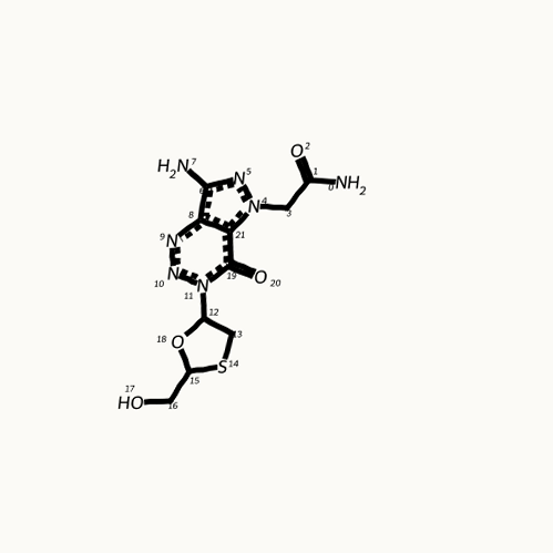 NC(=O)Cn1nc(N)c2nnn(C3CSC(CO)O3)c(=O)c21